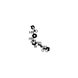 O=C(NCCCNc1nc(Nc2cccc(NC(=O)N3CCCC3)c2)ncc1Br)c1ccco1